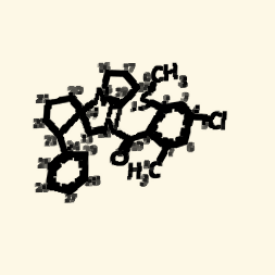 CSc1cc(Cl)cc(C)c1C(=O)NCC1(N2CCCC2)CCCC1c1ccccc1